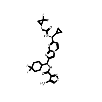 Cc1conc1C(=O)N[C@H](c1cn2ccc([C@H](NC(=O)C[C@@H]3CC3(F)F)C3CC3)nc2n1)C1CCC(F)(F)CC1